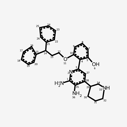 Nc1nc(-c2c(O)cccc2OCCC(c2ccccc2)c2ccccc2)cc(C2CCCNC2)c1N